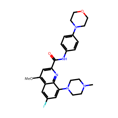 COc1cc(C(=O)Nc2ccc(N3CCOCC3)cc2)nc2c(N3CCN(C)CC3)cc(F)cc12